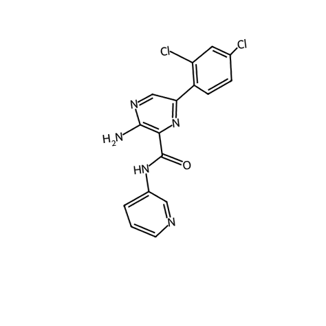 Nc1ncc(-c2ccc(Cl)cc2Cl)nc1C(=O)Nc1cccnc1